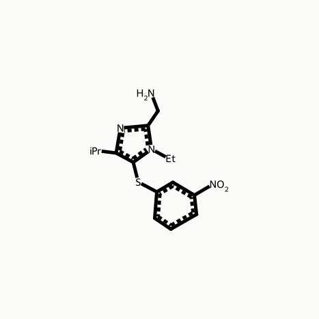 CCn1c(CN)nc(C(C)C)c1Sc1cccc([N+](=O)[O-])c1